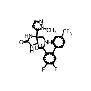 Cn1nccc1C1(CNC(=O)c2cc(F)c(F)cc2-c2ccc(C(F)(F)F)cc2)NC(=O)NC1=O